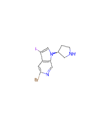 Brc1cc2c(I)cn([C@H]3CCNC3)c2cn1